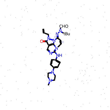 C=CCn1c(=O)c2cnc(Nc3ccc(N4CCN(C)CC4)cc3)nc2n1C(/C=C\C)=N/N(C=O)C(C)(C)C